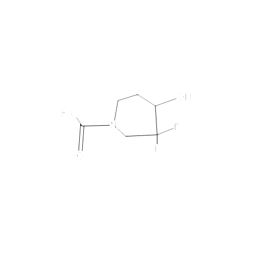 O=C(N1CCC(O)C(F)(F)C1)C(F)(F)F